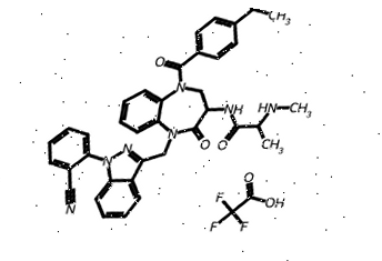 CNC(C)C(=O)NC1CN(C(=O)c2ccc(C(C)=O)cc2)c2ccccc2N(Cc2nn(-c3ccccc3C#N)c3ccccc23)C1=O.O=C(O)C(F)(F)F